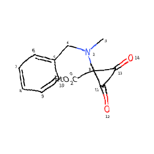 CCOC(=O)C1(N(C)Cc2ccccc2)C(=O)C1=O